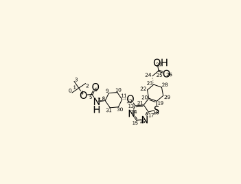 CC(C)(C)OC(=O)N[C@H]1CC[C@H](Oc2ncnc3sc4c(c23)C[C@H](CC(=O)O)CC4)CC1